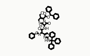 O=C(OC(c1ccccc1)c1ccccc1)C1=C(CCl)CS[C@@H]2C(NC(=O)/C(=N\Oc3ccccc3)c3csc(NC(c4ccccc4)(c4ccccc4)c4ccccc4)n3)C(=O)N12